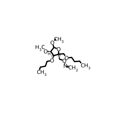 C=NOC[C@]1(COCCCC)OC(OC)[C@H](OC)[C@@H]1OCCCC